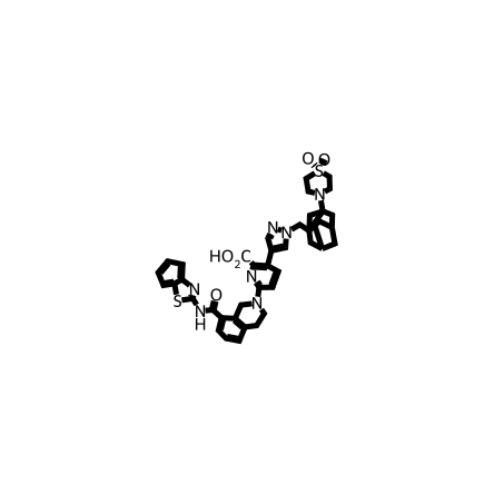 O=C(Nc1nc2ccccc2s1)c1cccc2c1CN(c1ccc(-c3cnn(CC45CC6CC(C4)CC(N4CCS(=O)(=O)CC4)(C6)C5)c3)c(C(=O)O)n1)CC2